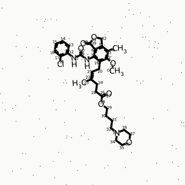 COc1c(C)c2c(c(NC(=O)Nc3ccccc3Cl)c1CC=C(C)CCC(=O)OCCCCN1CCOCC1)C(=O)OC2